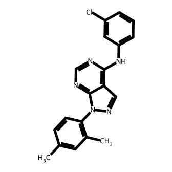 Cc1ccc(-n2ncc3c(Nc4cccc(Cl)c4)ncnc32)c(C)c1